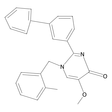 COc1cn(Cc2ccccc2C)c(-c2cccc(-c3ccccc3)c2)nc1=O